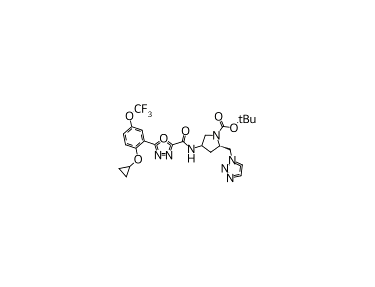 CC(C)(C)OC(=O)N1CC(NC(=O)c2nnc(-c3cc(OC(F)(F)F)ccc3OC3CC3)o2)C[C@@H]1Cn1ccnn1